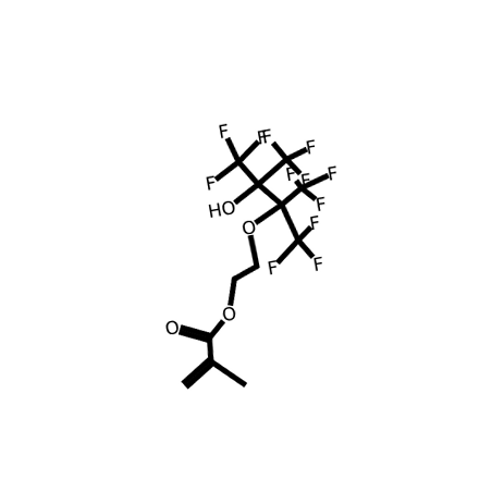 C=C(C)C(=O)OCCOC(C(F)(F)F)(C(F)(F)F)C(O)(C(F)(F)F)C(F)(F)F